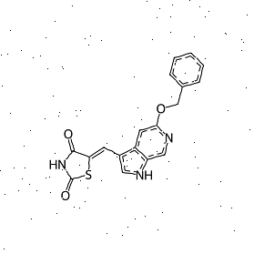 O=C1NC(=O)/C(=C/c2c[nH]c3cnc(OCc4ccccc4)cc23)S1